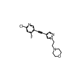 Fc1cc(Cl)ncc1C#Cc1cnn(CCN2CCOCC2)c1